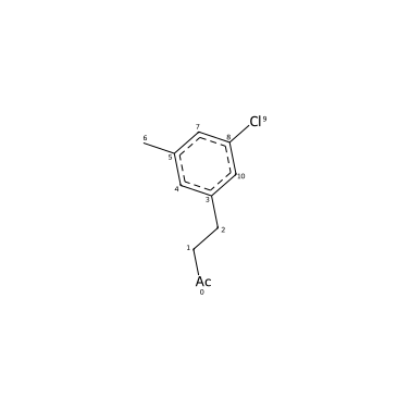 CC(=O)CCc1cc(C)cc(Cl)c1